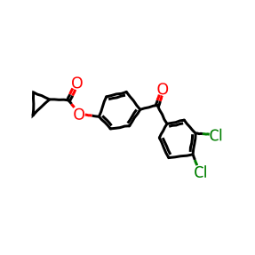 O=C(c1ccc(OC(=O)C2CC2)cc1)c1ccc(Cl)c(Cl)c1